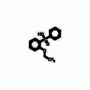 CCOc1ccccc1P(=O)(O)c1ccccc1